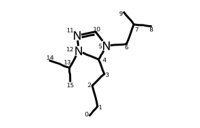 CCCCC1N(CC(C)C)C=NN1C(C)C